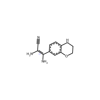 N#C/C(N)=C(/N)c1ccc2c(c1)OCCN2